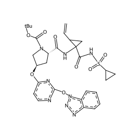 C=CC1CC1(NC(=O)[C@@H]1C[C@@H](Oc2ccnc(On3nnc4ccccc43)n2)CN1C(=O)OC(C)(C)C)C(=O)NS(=O)(=O)C1CC1